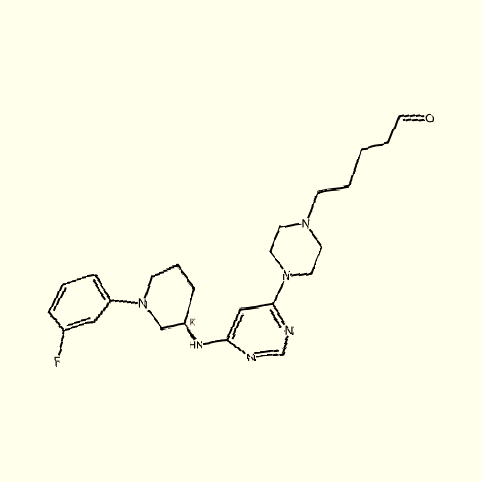 O=CCCCCN1CCN(c2cc(N[C@@H]3CCCN(c4cccc(F)c4)C3)ncn2)CC1